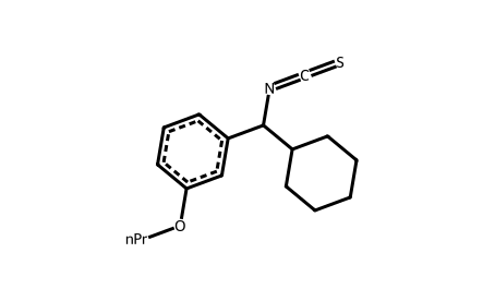 CCCOc1cccc(C(N=C=S)C2CCCCC2)c1